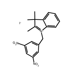 CC1=[N+](Cc2cc([N+](=O)[O-])cc([N+](=O)[O-])c2)c2ccccc2C1(C)C.[I-]